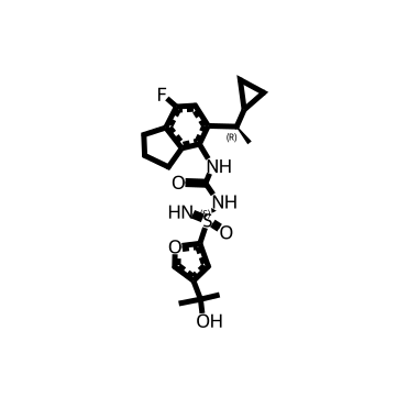 C[C@@H](c1cc(F)c2c(c1NC(=O)N[S@@](=N)(=O)c1cc(C(C)(C)O)co1)CCC2)C1CC1